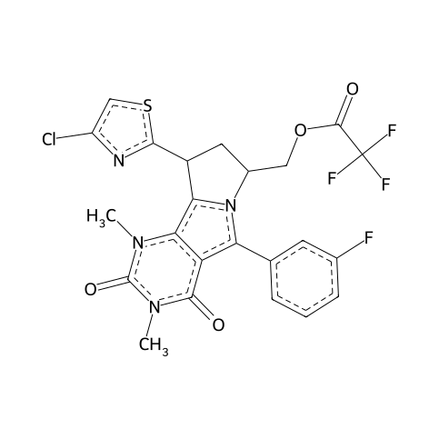 Cn1c(=O)c2c(-c3cccc(F)c3)n3c(c2n(C)c1=O)C(c1nc(Cl)cs1)CC3COC(=O)C(F)(F)F